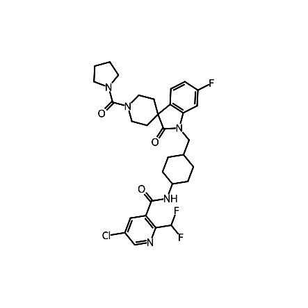 O=C(NC1CCC(CN2C(=O)C3(CCN(C(=O)N4CCCC4)CC3)c3ccc(F)cc32)CC1)c1cc(Cl)cnc1C(F)F